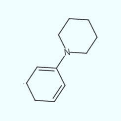 [CH]1C=C(N2CCCCC2)C=CC1